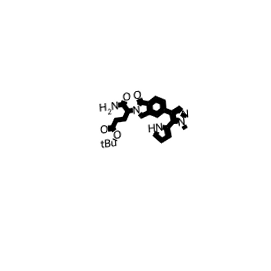 Cn1ncc(-c2ccc3c(c2)CN(C(CCC(=O)OC(C)(C)C)C(N)=O)C3=O)c1C1=CCCN1